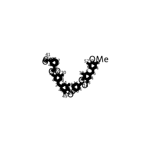 COc1c(C)cc(Cc2cc(C)c(OC(=O)c3cc[c]([Co](=[O])[c]4c(C)cc(Cc5cc(C)c(OC(=O)c6ccc[c]([Co]([CH3])=[O])c6)c(C)c5)cc4C)cc3)c(C)c2)cc1C